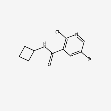 O=C(NC1CCC1)c1cc(Br)cnc1Cl